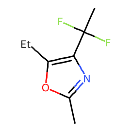 CCc1oc(C)nc1C(C)(F)F